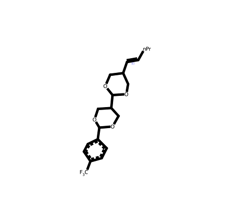 CCC/C=C/C1COC(C2COC(c3ccc(C(F)(F)F)cc3)OC2)OC1